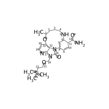 CC1CCCNC2C=C(C=CC2C(N)=O)n2c(=O)n(COCC[Si](C)(C)C)c3nccc(c32)O1